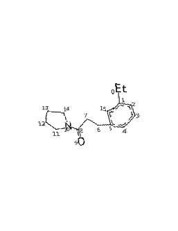 CCc1cccc(CCC(=O)N2CCCC2)c1